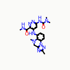 CNC(=O)c1nnc(NC(=O)N(C)C)cc1Nc1cccc2c1N(C)Cc1nc(C)nn1-2